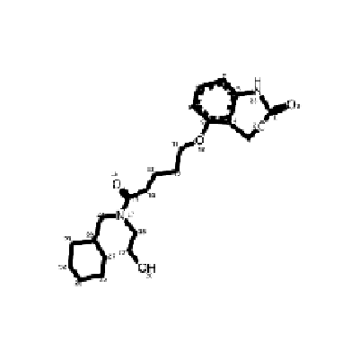 O=C1CCc2c(cccc2OCCCCC(=O)N(CCO)CC2CCCCC2)N1